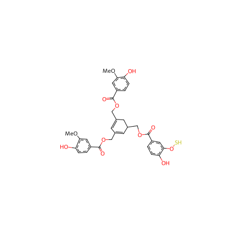 COc1cc(C(=O)OCC2=CC(COC(=O)c3ccc(O)c(OS)c3)CC(COC(=O)c3ccc(O)c(OC)c3)=C2)ccc1O